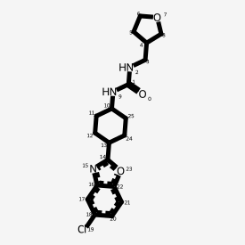 O=C(NCC1CCOC1)NC1CCC(c2nc3cc(Cl)ccc3o2)CC1